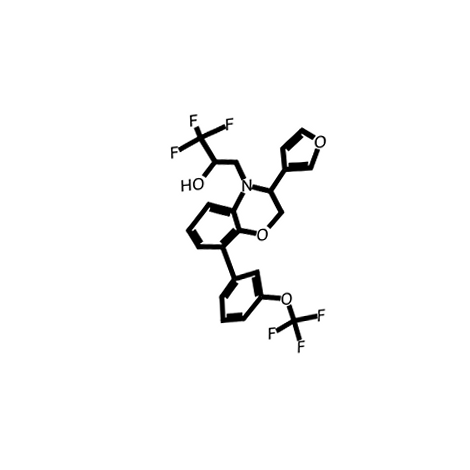 OC(CN1c2cccc(-c3cccc(OC(F)(F)F)c3)c2OCC1c1ccoc1)C(F)(F)F